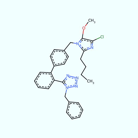 CCCCc1nc(Cl)c(OC)n1Cc1ccc(-c2ccccc2-c2nnnn2Cc2ccccc2)cc1